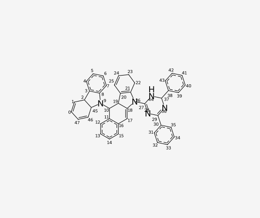 C1=CC2c3ccccc3N(C3c4ccccc4C=C4C3C3=C(CCC=C3)N4C3=NC(c4ccccc4)=NC(c4ccccc4)N3)C2C=C1